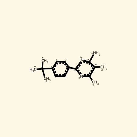 Cc1nc(-c2ccc(C(C)(C)C)cc2)nc(N)c1C